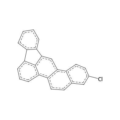 Clc1ccc2c(ccc3c4cccc5c4c(cc23)-c2ccccc2-5)c1